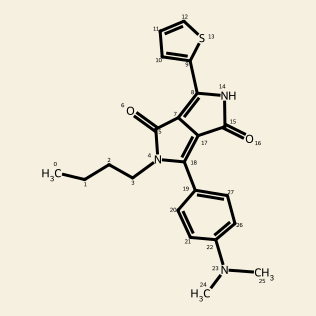 CCCCN1C(=O)C2=C(c3cccs3)NC(=O)C2=C1c1ccc(N(C)C)cc1